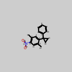 Cc1cc(C2(c3ccccc3)CC2)c(C)cc1[N+](=O)[O-]